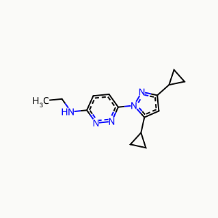 CCNc1ccc(-n2nc(C3CC3)cc2C2CC2)nn1